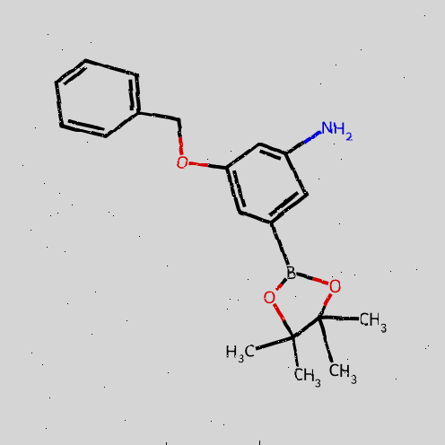 CC1(C)OB(c2cc(N)cc(OCc3ccccc3)c2)OC1(C)C